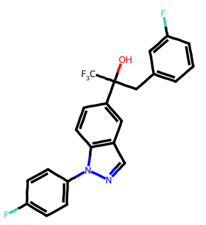 OC(Cc1cccc(F)c1)(c1ccc2c(cnn2-c2ccc(F)cc2)c1)C(F)(F)F